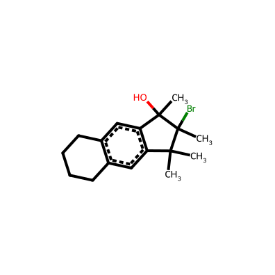 CC1(C)c2cc3c(cc2C(C)(O)C1(C)Br)CCCC3